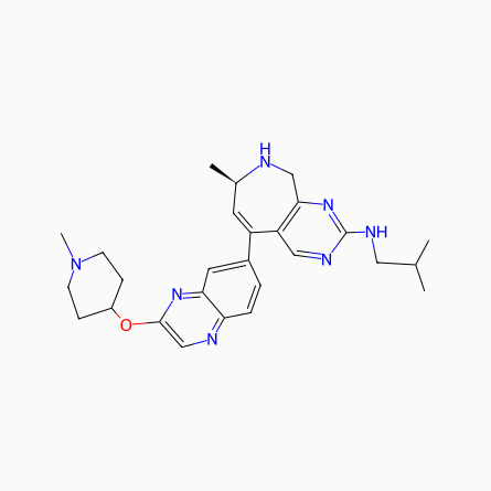 CC(C)CNc1ncc2c(n1)CN[C@H](C)C=C2c1ccc2ncc(OC3CCN(C)CC3)nc2c1